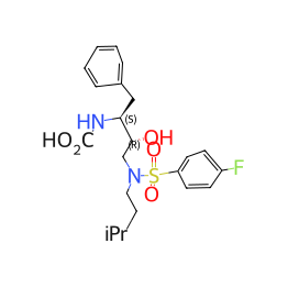 CC(C)CCN(C[C@@H](O)[C@H](Cc1ccccc1)NC(=O)O)S(=O)(=O)c1ccc(F)cc1